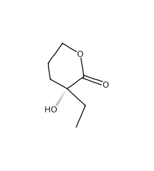 CC[C@@]1(O)CCCOC1=O